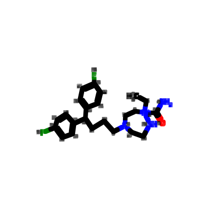 CC[N+]1(C(N)=O)CCN(CCCC(c2ccc(F)cc2)c2ccc(F)cc2)CCN1